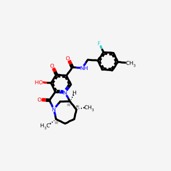 Cc1ccc(CNC(=O)c2cn3c(c(O)c2=O)C(=O)N2C[C@@H]3[C@H](C)CC[C@@H]2C)c(F)c1